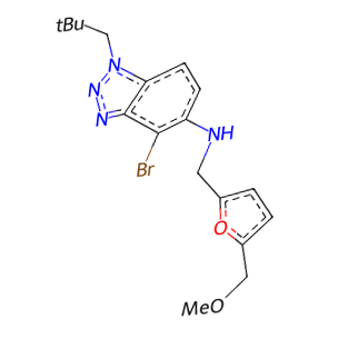 COCc1ccc(CNc2ccc3c(nnn3CC(C)(C)C)c2Br)o1